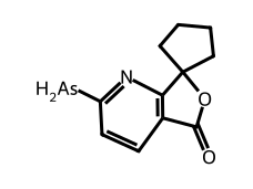 O=C1OC2(CCCC2)c2nc([AsH2])ccc21